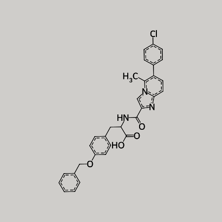 Cc1c(-c2ccc(Cl)cc2)ccc2nc(C(=O)NC(Cc3ccc(OCc4ccccc4)cc3)C(=O)O)cn12